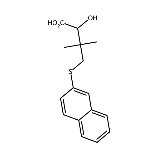 CC(C)(CSc1ccc2ccccc2c1)C(O)C(=O)O